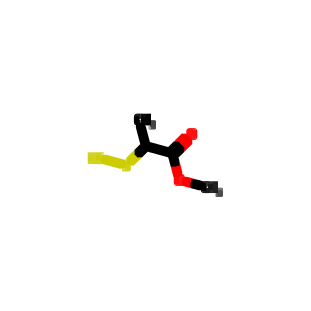 COC(=O)C(C)SS